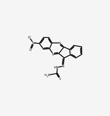 NC(=S)NN=C1c2ccccc2-c2nc3ccc([N+](=O)[O-])cc3nc21